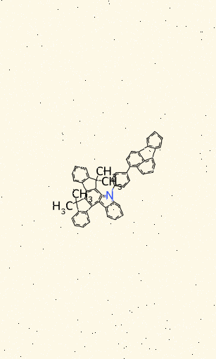 CC1(C)c2ccccc2-c2c1c1c(c3c2c2ccccc2n3-c2ccc(-c3ccc4c5c(cccc35)-c3ccccc3-4)cc2)C(C)(C)c2ccccc2-1